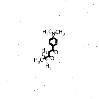 CN(C)c1ccc(C(=O)CC(=O)C(C)(C)C)cc1